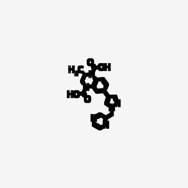 C[C@H]1CN(C(=O)O)c2cc(-c3cnn(Cc4cnccn4)c3)ccc2N1C(=O)O